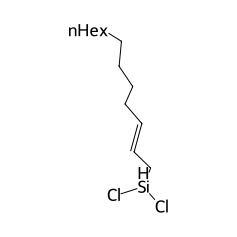 CCCCCCCCCCC=CC[SiH](Cl)Cl